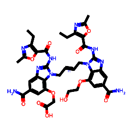 CCc1nc(C)oc1C(=O)Nc1nc2cc(C(N)=O)cc(OCCO)c2n1C/C=C/Cn1c(NC(=O)c2oc(C)nc2CC)nc2cc(C(N)=O)cc(OCC(=O)O)c21